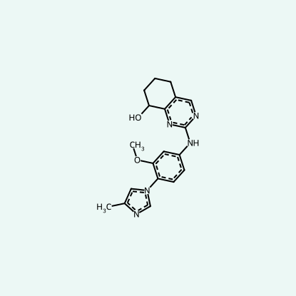 COc1cc(Nc2ncc3c(n2)C(O)CCC3)ccc1-n1cnc(C)c1